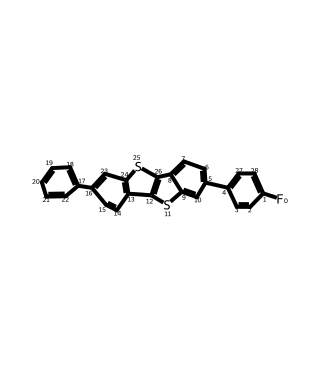 Fc1ccc(-c2ccc3c(c2)sc2c4ccc(-c5ccccc5)cc4sc32)cc1